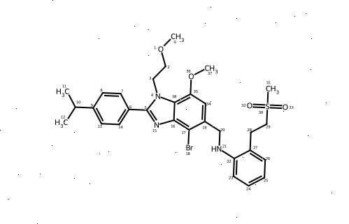 COCCn1c(-c2ccc(C(C)C)cc2)nc2c(Br)c(CNc3ccccc3CCS(C)(=O)=O)cc(OC)c21